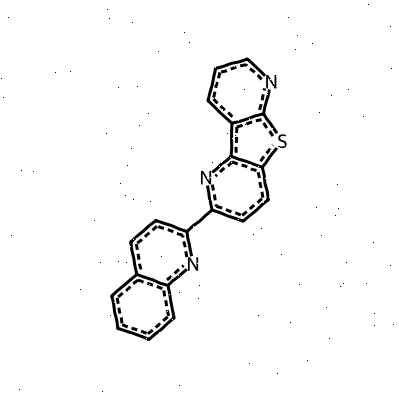 c1ccc2nc(-c3ccc4sc5ncccc5c4n3)ccc2c1